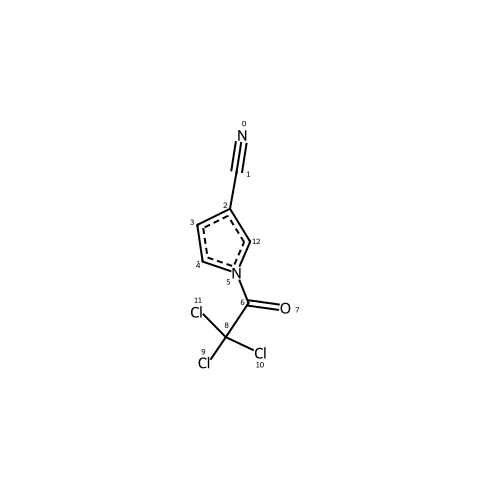 N#Cc1c[c]n(C(=O)C(Cl)(Cl)Cl)c1